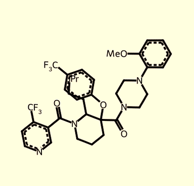 COc1ccccc1N1CCN(C(=O)C2(Oc3ccc(C(F)(F)F)cc3)CCCN(C(=O)c3cnccc3C(F)(F)F)C2CCC(C)C)CC1